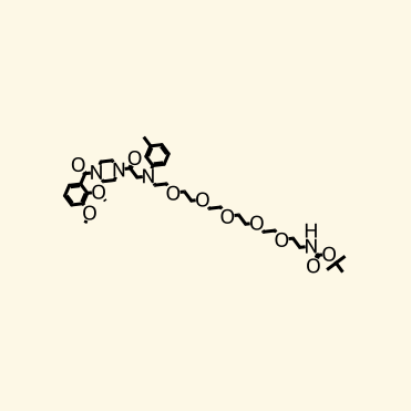 COc1cccc(C(=O)N2CCN(C(=O)CN(CCOCCOCCOCCOCCOCCNC(=O)OC(C)(C)C)c3cccc(C)c3)CC2)c1OC